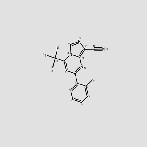 Cc1ccccc1-c1cc(C(F)(F)F)n2cnc(C#N)c2n1